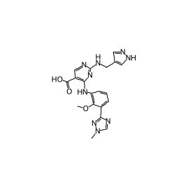 COc1c(Nc2nc(NCc3cn[nH]c3)ncc2C(=O)O)cccc1-c1ncn(C)n1